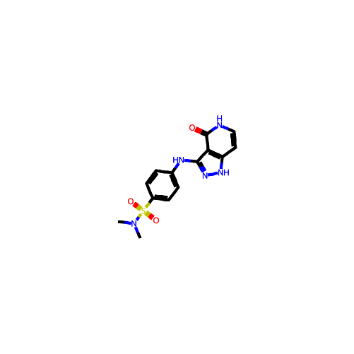 CN(C)S(=O)(=O)c1ccc(Nc2n[nH]c3cc[nH]c(=O)c23)cc1